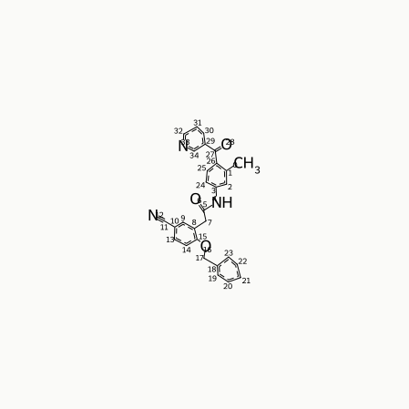 Cc1cc(NC(=O)Cc2cc(C#N)ccc2OCc2ccccc2)ccc1C(=O)c1cccnc1